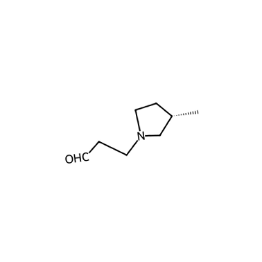 C[C@H]1CCN(CCC=O)C1